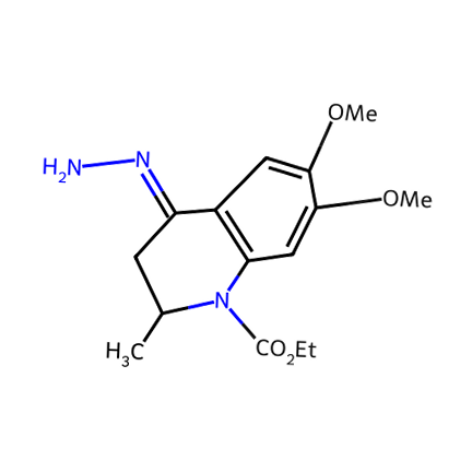 CCOC(=O)N1c2cc(OC)c(OC)cc2C(=NN)CC1C